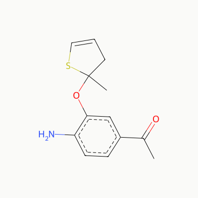 CC(=O)c1ccc(N)c(OC2(C)CC=CS2)c1